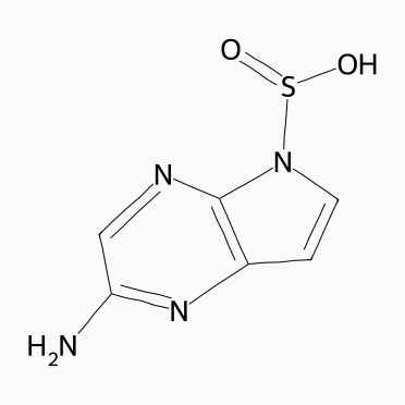 Nc1cnc2c(ccn2S(=O)O)n1